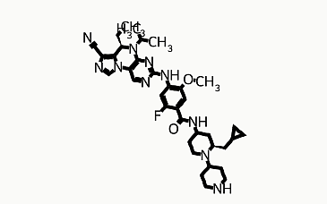 CC[C@@H]1c2c(C#N)ncn2-c2cnc(Nc3cc(F)c(C(=O)NC4CCN(C5CCNCC5)[C@H](CC5CC5)C4)cc3OC)nc2N1C(C)C